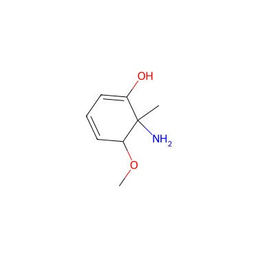 COC1C=CC=C(O)C1(C)N